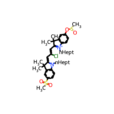 CCCCCCCN1C(=CC(Cl)=CC2=[N+](CCCCCCC)c3ccc(OS(C)=O)cc3C2(C)C)C(C)(C)c2cc(S(C)(=O)=O)ccc21